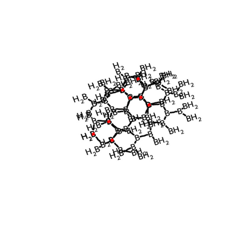 BBB(B(B)B)B(B(B)B)B(B(BB(B(B(B(B)B)B(B)B)B(B(B)B)B(B)B)B(B(B(B)B)B(B)B)B(B(B)B)B(B)B)B(B(B(B(B)B)B(B)B)B(B(B)B)B(B)B)B(B(B(B)B)B(B)B)B(B(B)B)B(B)B)B(B(B)B)B(B)B